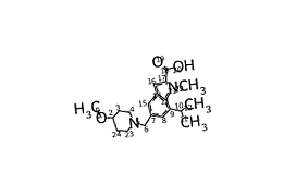 COC1CCN(Cc2cc(C(C)C)c3c(c2)cc(C(=O)O)n3C)CC1